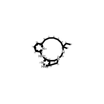 CCC1(C)CCCCCc2cccc(n2)Nc2n[nH]c3c2CN(CO1)C3